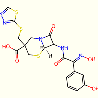 O=C(NC1C(=O)N2CC(CSc3nncs3)(C(=O)O)CS[C@H]12)C(=NO)c1cccc(O)c1